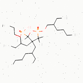 CCCCC(CC)COP1(=O)OC(C)(P(=O)(O)O)C(CC(CC)CCCC)(CC(CC)CCCC)C1(C)C